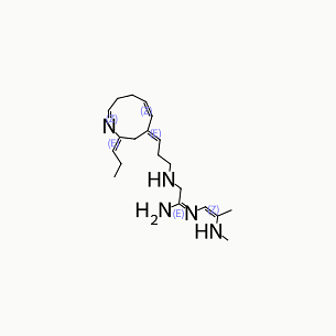 CC/C=C1CC(=C\CCNC/C(N)=N\C=C(\C)NC)/C=C\CC/C=N\1